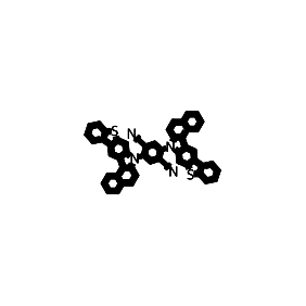 N#Cc1cc(-n2c3cc4sc5ccccc5c4cc3c3c4ccccc4ccc32)c(C#N)cc1-n1c2cc3sc4ccccc4c3cc2c2c3ccccc3ccc21